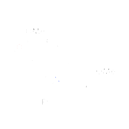 COC(=O)c1cccc(Cn2c(C(C)C)cc3cc(OC)ccc32)c1